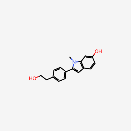 Cn1c(-c2ccc(CCO)cc2)cc2ccc(O)cc21